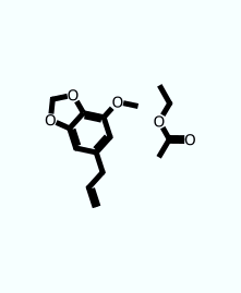 C=CCc1cc(OC)c2c(c1)OCO2.CCOC(C)=O